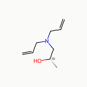 C=CCN(CC=C)C[C@H](C)O